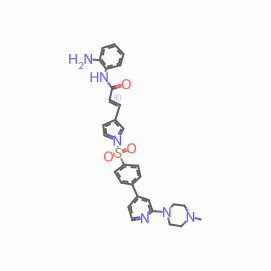 CN1CCN(c2cc(-c3ccc(S(=O)(=O)n4ccc(/C=C/C(=O)Nc5ccccc5N)c4)cc3)ccn2)CC1